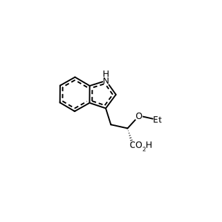 CCO[C@@H](Cc1c[nH]c2ccccc12)C(=O)O